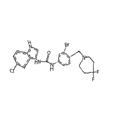 O=C(Nc1ccc(CN2CCC(F)(F)CC2)c(Br)c1)Nc1c[nH]c2ccc(Cl)cc12